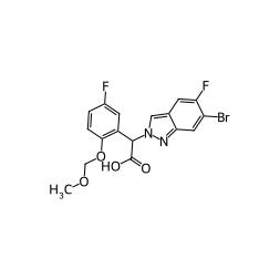 COCOc1ccc(F)cc1C(C(=O)O)n1cc2cc(F)c(Br)cc2n1